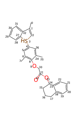 CC1=C[SH](c2cc(C)c(OCC(=O)OC3CCCc4ccccc43)c(C)c2)c2ccccc21